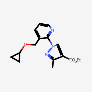 CCOC(=O)c1cn(-c2ncccc2COC2CC2)nc1C